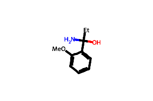 CCC(N)(O)c1ccccc1OC